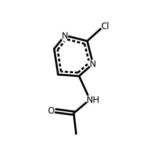 CC(=O)Nc1ccnc(Cl)n1